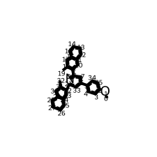 COc1ccc(-c2cc(-c3cc4ccccc4cc3C)nc(-c3cc4ccccc4cc3C)c2)cc1